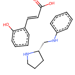 O=C(O)C=Cc1ccccc1O.c1ccc(NC[C@@H]2CCCN2)cc1